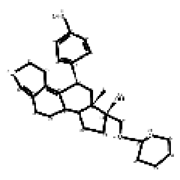 C[C@]12C[C@H](c3ccc(C=O)cc3)C3=C4CCOC=C4CCC3C1CC[C@@]2(O)COC1CCCCO1